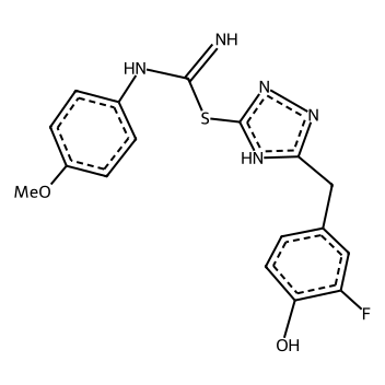 COc1ccc(NC(=N)Sc2nnc(Cc3ccc(O)c(F)c3)[nH]2)cc1